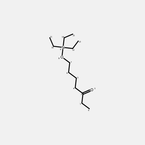 CCC(=O)CCCCO[Si](CC)(CC)CC